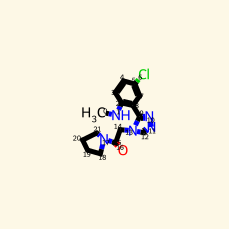 CNc1ccc(Cl)cc1-c1nncn1CC(=O)N1CCCC1